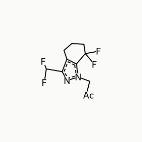 CC(=O)Cn1nc(C(F)F)c2c1C(F)(F)CCC2